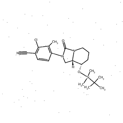 Cc1c(N2C[C@H]3[C@@H](O[Si](C)(C)C(C)(C)C)CCCN3C2=O)ccc(C#N)c1Cl